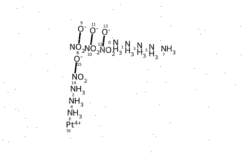 N.N.N.N.N.N.N.N.O=[N+]([O-])[O-].O=[N+]([O-])[O-].O=[N+]([O-])[O-].O=[N+]([O-])[O-].[Pt+4]